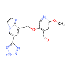 COc1cc(C=O)c(OCc2cc(-c3nn[nH]n3)cn3ccnc23)cn1